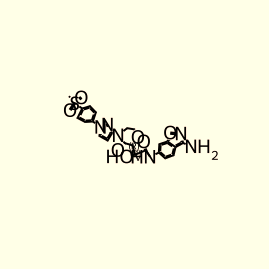 C[C@](O)(C(=O)Nc1ccc2c(N)noc2c1)[C@H]1OCCN(c2ccn(-c3ccc(S(C)(=O)=O)cc3)n2)C1=O